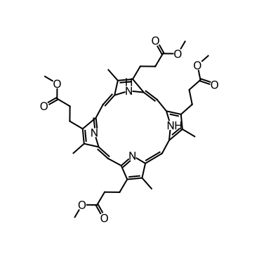 COC(=O)CCC1=C(C)c2cc3[nH]c(cc4[nH]c(cc5nc(cc1n2)C(C)=C5CCC(=O)OC)c(C)c4CCC(=O)OC)c(CCC(=O)OC)c3C